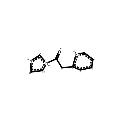 O=C(Cc1ccccn1)n1ccnc1